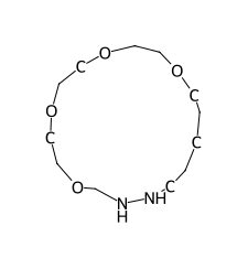 C1CCNNCOCCOCCOCCOCC1